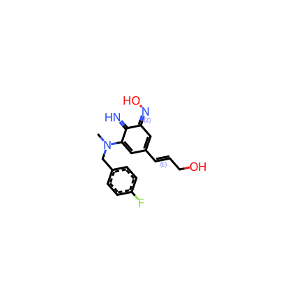 CN(Cc1ccc(F)cc1)C1=CC(/C=C/CO)=CC(=N/O)/C1=N